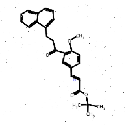 COc1ccc(/C=C/C(=O)OC(C)(C)C)cc1C(=O)CCc1cccc2ccccc12